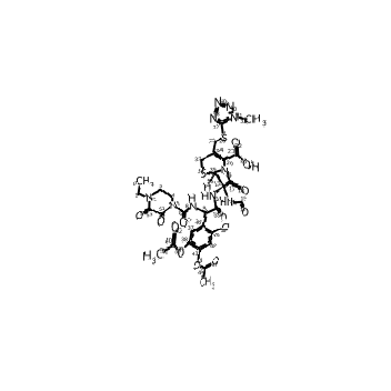 CCN1CCN(C(=O)NC(C(=O)N[C@]2(NC=O)C(=O)N3C(C(=O)O)=C(CSc4nnnn4C)CS[C@H]32)c2cc(OC(C)=O)c(OC(C)=O)cc2Cl)C(=O)C1=O